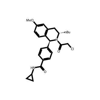 CCCC[C@H]1Cc2cc(OC)ccc2[C@H](c2ccc(C(=O)NC3CC3)cc2)N1C(=O)CCl